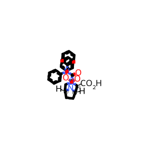 O=C(O)[C@@H]1[C@H]2CC[C@@H](CN1C(=O)N(c1ccccc1)c1ccccc1)N2C(=O)Oc1ccccc1